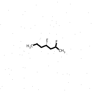 CCC[C@H](F)CC(C)F